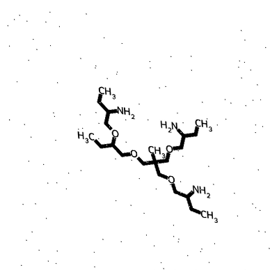 CCC(N)COCC(C)(COCC(N)CC)COCC(CC)OCC(N)CC